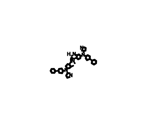 Cc1cc(N(c2ccc(-c3ccccc3)cc2)c2cccnc2)ccc1-c1ccc(-c2ccc(N(c3ccc(-c4ccccc4)cc3)c3cccnc3)cc2N)n1C